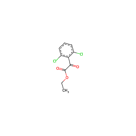 CCOC(=O)C(=O)c1c(Cl)cccc1Cl